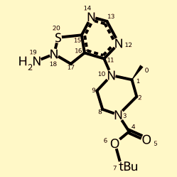 C[C@H]1CN(C(=O)OC(C)(C)C)CCN1c1ncnc2c1CN(N)S2